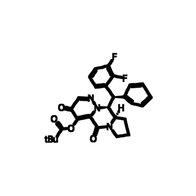 CC(C)(C)C(=O)Oc1c2n(ncc1=O)[C@@H]([C@H](c1ccccc1)c1cccc(F)c1F)[C@H]1CCCN1C2=O